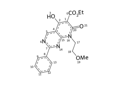 CCOC(=O)c1c(O)c2cnc(-c3ccccc3)nc2n(CCOC)c1=O